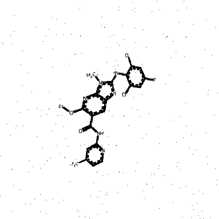 CCOc1nc2c(cc1C(=O)Nc1cc(C(F)(F)F)ccn1)nc(Nc1c(Cl)cc(F)cc1Cl)n2C